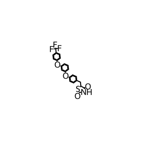 O=C1NC(=O)C(Cc2ccc(Oc3cccc(Oc4ccc(C(F)(F)F)cc4)c3)cc2)S1